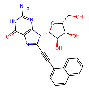 Nc1nc2c(nc(C#Cc3cccc4ccccc34)n2[C@@H]2O[C@H](CO)[C@@H](O)[C@H]2O)c(=O)[nH]1